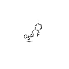 Cc1ccc(F)c(/C=N/[S@@+]([O-])C(C)(C)C)c1